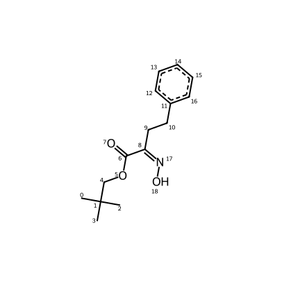 CC(C)(C)COC(=O)C(CCc1ccccc1)=NO